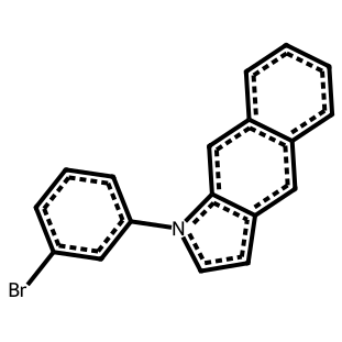 Brc1cccc(-n2ccc3cc4ccccc4cc32)c1